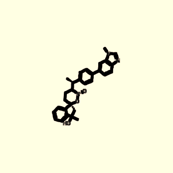 C[C@@H](c1ccc(-c2ccc3ncn(C)c3c2)cc1)C1CC[C@](CC(C)(C)O)(c2ccccc2)O[N+]1=O